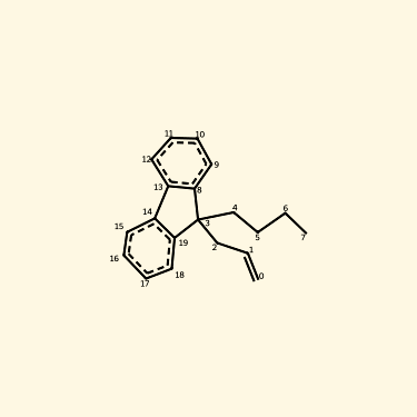 C=CCC1(CCCC)c2ccccc2-c2ccccc21